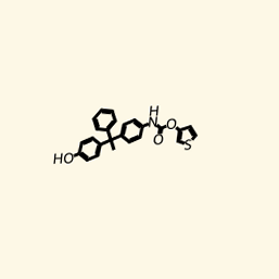 CC(c1ccccc1)(c1ccc(O)cc1)c1ccc(NC(=O)Oc2ccsc2)cc1